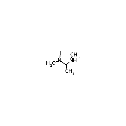 CNC(C)N(C)I